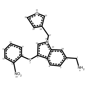 NCc1ccc2c(Sc3ccccc3[N+](=O)[O-])cn(Cc3ccoc3)c2c1